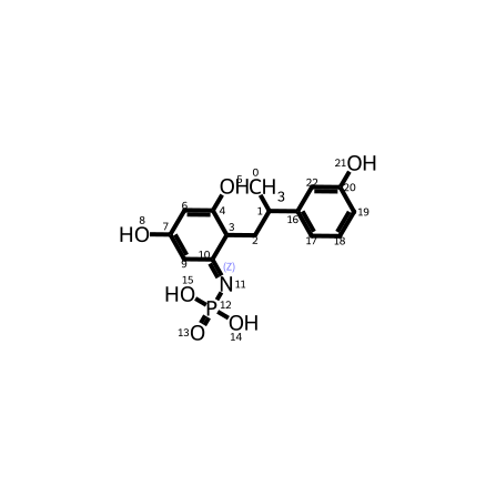 CC(CC1C(O)=CC(O)=C/C1=N\P(=O)(O)O)c1cccc(O)c1